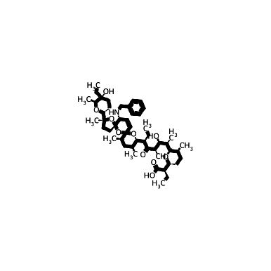 CC[C@@H](C(=O)[C@@H](C)[C@@H](O)[C@H](C)[C@@H]1O[C@@H]([C@@H](CC)C(=O)O)CC[C@@H]1C)[C@H]1OC2(C=C[C@@H](NCc3ccccc3)[C@]3(CC[C@@](C)([C@H]4CC[C@](O)(CC)[C@H](C)O4)O3)O2)[C@H](C)C[C@@H]1C